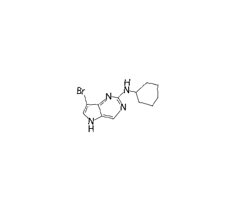 Brc1c[nH]c2cnc(NC3CCCCC3)nc12